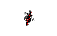 C=Cc1c(O)c(-c2c3ccccc3c(-c3ccc4ccccc4c3)c3ccccc23)c(O)c2c(O)c(O)c(-c3c4ccccc4c(-c4ccc5ccccc5c4)c4cc(C(C)(C)C)ccc34)c(O)c12